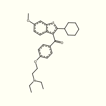 CCN(CC)CCOc1ccc(C(=O)c2c(C3CCCCC3)sc3cc(OC)ccc23)cc1